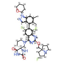 Cc1cc2c(cnn2C2CCCCO2)c(-c2c(F)cc3c(N4CCC[C@]5(C4)NC(=O)NC5=O)nc(OC[C@@]45CCCN4C[C@H](F)C5)nc3c2F)c1C